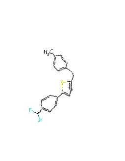 Cc1ccc(Cc2ccc(-c3ccc(C(F)F)cc3)s2)cc1